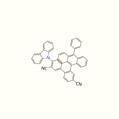 N#Cc1ccc(-c2ccc(-n3c4ccccc4c4ccccc43)c(C#N)c2)c(-c2c3ccccc3c(-c3ccccc3)c3ccccc23)c1